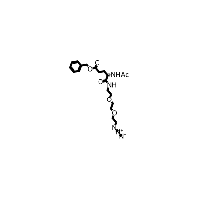 CC(=O)N[C@@H](CCC(=O)OCc1ccccc1)C(=O)NCCOCCOCCN=[N+]=[N-]